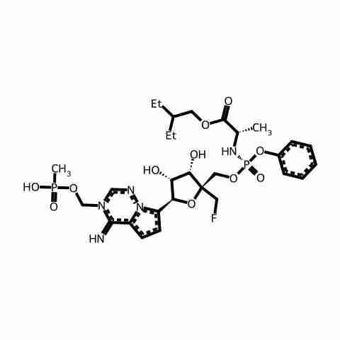 CCC(CC)COC(=O)[C@H](C)N[P@](=O)(OC[C@@]1(CF)O[C@@H](c2ccc3c(=N)n(COP(C)(=O)O)cnn23)[C@H](O)[C@@H]1O)Oc1ccccc1